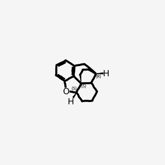 c1cc2c3c(c1)O[C@H]1CCCC4[C@H](CCC[C@@]341)C2